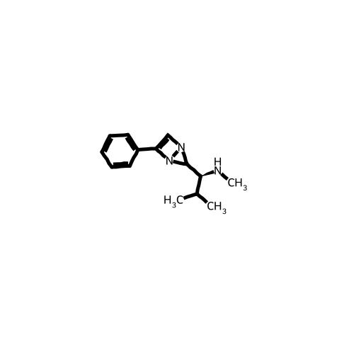 CN[C@@H](C(C)C)C1n2cc(-c3ccccc3)n21